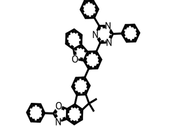 CC1(C)c2cc(-c3ccc(-c4nc(-c5ccccc5)nc(-c5ccccc5)n4)c4c3oc3ccccc34)ccc2-c2c1ccc1nc(-c3ccccc3)oc21